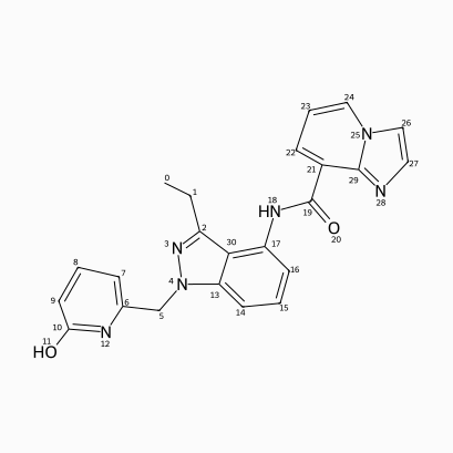 CCc1nn(Cc2cccc(O)n2)c2cccc(NC(=O)c3cccn4ccnc34)c12